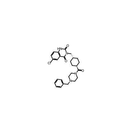 O=c1[nH]c2ccc(Cl)cc2c(=O)n1C[C@H]1CC[C@H](C(=O)N2CCN(Cc3ccccc3)CC2)CC1